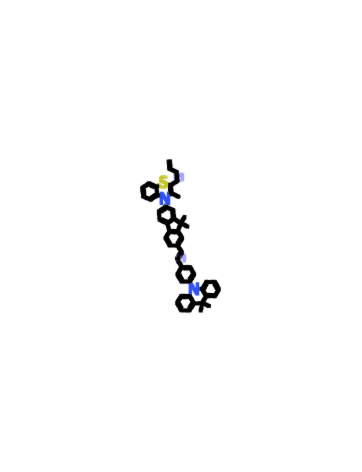 C=C/C=C\C1=C(C)N(c2ccc3c(c2)C(C)(C)c2cc(/C=C/c4ccc(N5c6ccccc6C(C)(C)c6ccccc65)cc4)ccc2-3)c2ccccc2S1